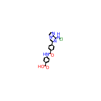 O=C(O)c1ccc(NC(=O)c2ccc(-c3cn4ccnc4c(NCl)n3)cc2)cc1